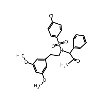 COc1cc(CCN(C(C(N)=O)c2ccccc2)S(=O)(=O)c2ccc(Cl)cc2)cc(OC)c1